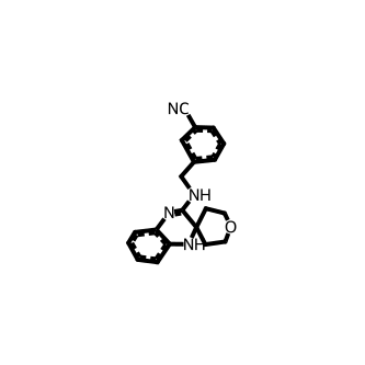 N#Cc1cccc(CNC2=Nc3ccccc3NC23CCOCC3)c1